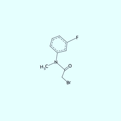 CN(C(=O)CBr)c1cccc(F)c1